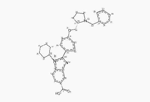 O=C(O)c1ccc2c(c1)nc(-c1ccc(OC[C@@H]3CCCN3Cc3ccccc3)cc1)n2C1CCCCC1